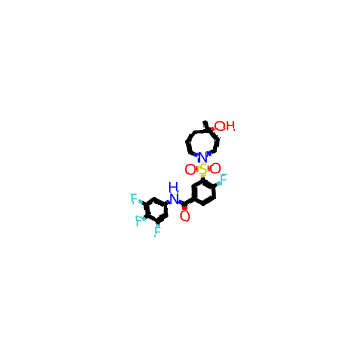 CC1(O)CCCN(S(=O)(=O)c2cc(C(=O)Nc3cc(F)c(F)c(F)c3)ccc2F)CC1